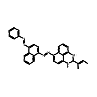 C/C=C(\C)C1Nc2cccc3c(/N=N/c4ccc(/N=N/c5ccccc5)c5ccccc45)ccc(c23)N1